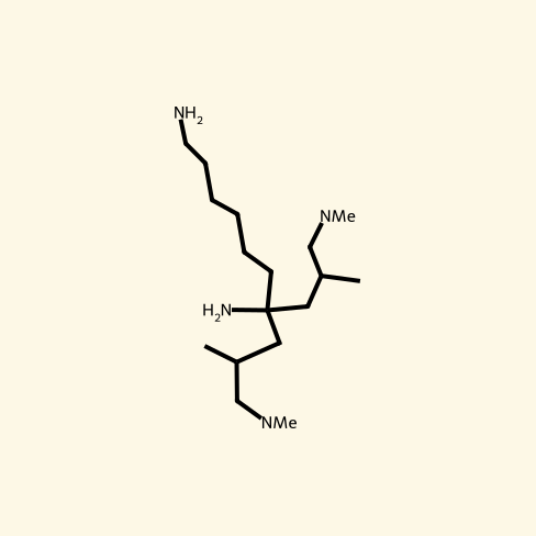 CNCC(C)CC(N)(CCCCCCN)CC(C)CNC